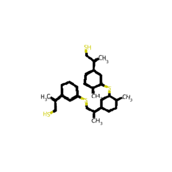 CC(CS)C1CCCC(SCC(C)C2CCC(C)C(SC3CC(C(C)CS)CCC3C)C2)C1